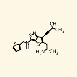 CC(C)C#Cc1c(C[C@H](C)N)sc2c(NCc3cccs3)snc12